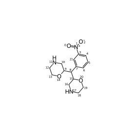 O=[N+]([O-])c1cccc(C(C2CNCCO2)C2CNCCO2)c1